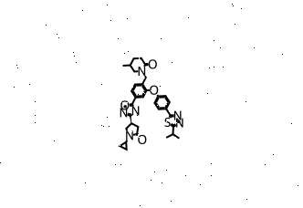 CC1CCC(=O)N(Cc2ccc(-c3nc([C@H]4CC(=O)N(C5CC5)C4)no3)cc2Oc2ccc(-c3nnc(C(C)C)s3)cc2)C1